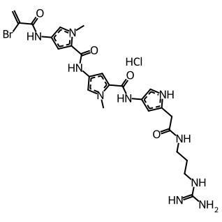 C=C(Br)C(=O)Nc1cc(C(=O)Nc2cc(C(=O)Nc3c[nH]c(CC(=O)NCCCNC(=N)N)c3)n(C)c2)n(C)c1.Cl